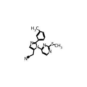 CSc1nccc(-n2c(CC#N)cnc2-c2cccc(C)c2)n1